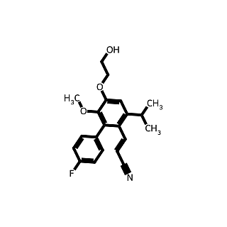 COc1c(OCCO)cc(C(C)C)c(/C=C/C#N)c1-c1ccc(F)cc1